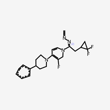 C=N/N=C(/CC1CC1(F)F)N1C=CC(N2CCC(c3ccccc3)CC2)=C(F)C1